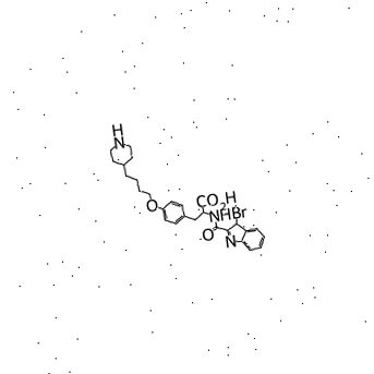 O=C(NC(Cc1ccc(OCCCCC2CCNCC2)cc1)C(=O)O)C1=Nc2ccccc2C1Br